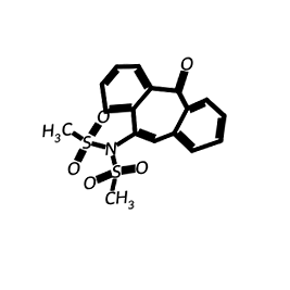 CS(=O)(=O)N(c1cc2ccccc2c(=O)c2ccccc12)S(C)(=O)=O